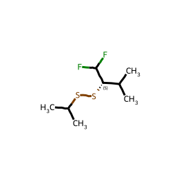 CC(C)SS[C@@H](C(C)C)C(F)F